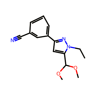 CCn1nc(-c2cccc(C#N)c2)cc1C(OC)OC